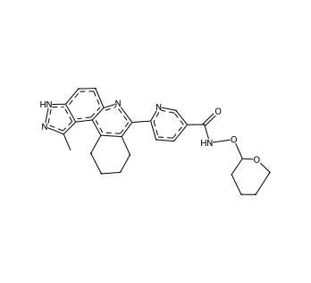 Cc1n[nH]c2ccc3nc(-c4ccc(C(=O)NOC5CCCCO5)cn4)c4c(c3c12)CCCC4